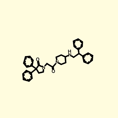 O=C(CN1CCC(c2ccccc2)(c2ccccc2)C1=O)N1CCC(NCC(c2ccccc2)c2ccccc2)CC1